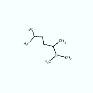 CB(C)C(C)CCC(C)C(C)C